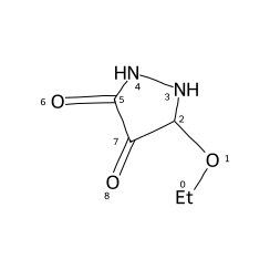 CCOC1NNC(=O)C1=O